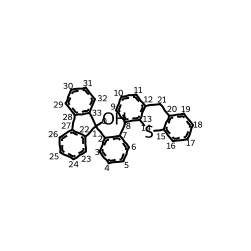 OC1(c2ccccc2-c2cccc3c2Sc2ccccc2C3)c2ccccc2-c2ccccc21